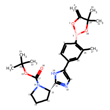 C=C1OB(c2ccc(-c3cnc([C@@H]4CCCN4C(=O)OC(C)(C)C)[nH]3)cc2C)OC1(C)C